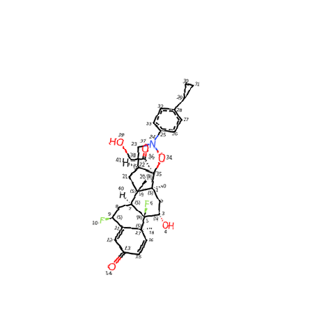 C[C@]12C[C@H](O)[C@@]3(F)[C@@H](C[C@H](F)C4=CC(=O)C=C[C@@]43C)[C@]1(C)C[C@H]1CN(c3ccc(C4CC4)cc3)O[C@]12C(=O)CO